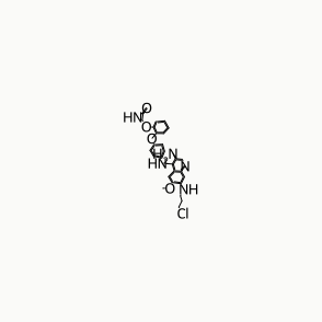 COc1cc2c(Nc3ccc(Oc4ccccc4OC4NC4=O)cc3)c(N)cnc2cc1NCCCCl